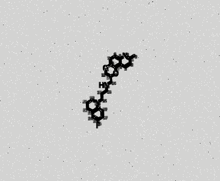 Cc1ccc2c3c(ccc2n1)OC[C@H](CNCCCN1CCCc2cc(F)ccc21)O3